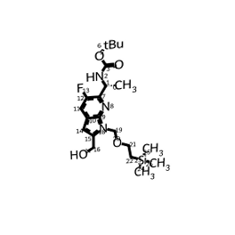 C[C@@H](NC(=O)OC(C)(C)C)c1nc2c(cc1F)cc(CO)n2COCC[Si](C)(C)C